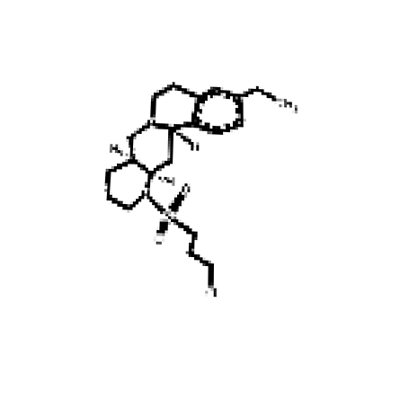 CCc1ccc2c(c1)CCN1C[C@@H]3CCCN(S(=O)(=O)CCCCl)[C@@H]3C[C@@H]21